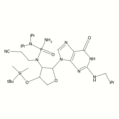 CC(C)CNc1nc2c(ncn2C2OCC(O[Si](C)(C)C(C)(C)C)C2N(CCC#N)P(N)(=O)N(C(C)C)C(C)C)c(=O)[nH]1